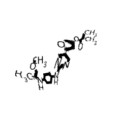 CC[C@H](C)C(=O)O[C@H]1CO[C@@H](c2cnc(NC3CCC(N[C@H](C)COC)CC3)nc2)C1